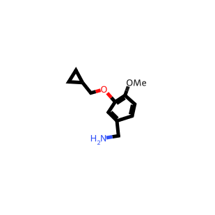 COc1ccc(CN)cc1OCC1CC1